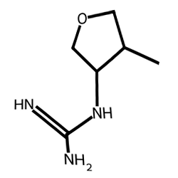 CC1COCC1NC(=N)N